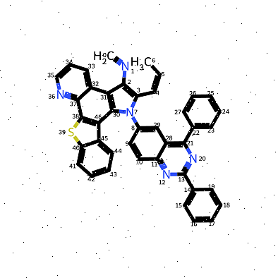 C=Nc1c(/C=C\C)n(-c2ccc3nc(-c4ccccc4)nc(-c4ccccc4)c3c2)c2c1c1cccnc1c1sc3ccccc3c12